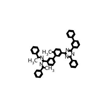 C/C(=N\C(=N/C(C)c1ccccc1)c1cccc(-c2cc(-c3nc(-c4ccccc4)nc(-c4cccc(-c5ccccc5)c4)n3)ccc2C)c1)c1ccccc1